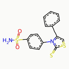 NS(=O)(=O)c1ccc(-n2c(-c3ccccc3)csc2=S)cc1